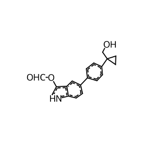 O=COc1c[nH]c2ccc(-c3ccc(C4(CO)CC4)cc3)cc12